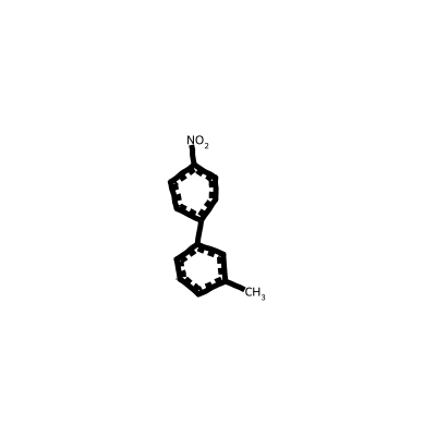 Cc1c[c]cc(-c2ccc([N+](=O)[O-])cc2)c1